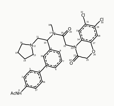 CC(=O)Nc1ccc(-c2cccc(C(CN3CCCC3)N(C)C(=O)CN3C(=O)COc4cc(Cl)c(Cl)cc43)c2)cc1